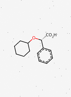 O=C(O)[C@@H](OC1CCCCC1)c1ccccc1